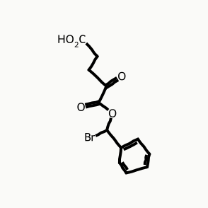 O=C(O)CCC(=O)C(=O)OC(Br)c1ccccc1